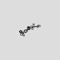 CCOCCNC(=O)Oc1ccc(N2CCN(C(=O)c3ccccc3C(F)(F)F)CC2)nn1